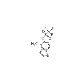 Cc1c(OS(=O)(=O)C(F)(F)F)ccc2sccc12